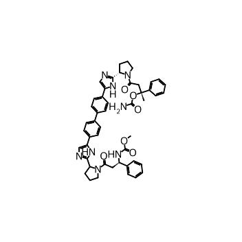 COC(=O)N[C@H](CC(=O)N1CCCC1c1ncc(-c2ccc(-c3ccc(-c4cnc([C@@H]5CCCN5C(=O)C[C@@](C)(OC(N)=O)c5ccccc5)[nH]4)cc3)cc2)[nH]1)c1ccccc1